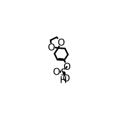 O=[SH](=O)OC1=CCC2(CC1)OCCO2